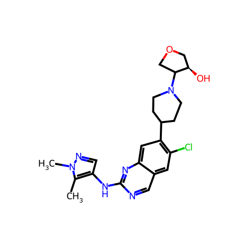 Cc1c(Nc2ncc3cc(Cl)c(C4CCN(C5COC[C@H]5O)CC4)cc3n2)cnn1C